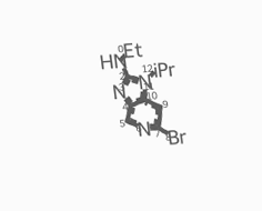 CCNc1nc2cnc(Br)cc2n1C(C)C